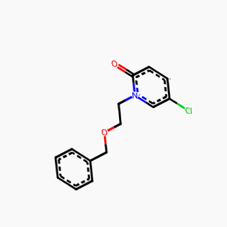 O=c1c[c]c(Cl)cn1CCOCc1ccccc1